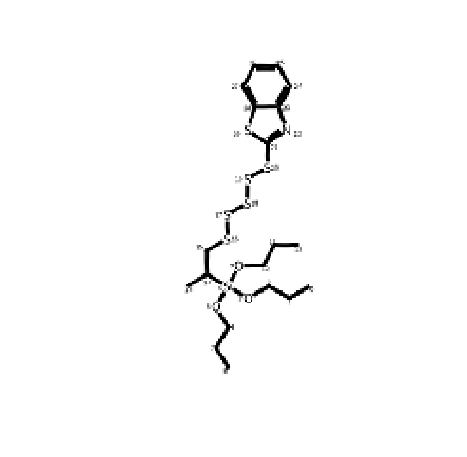 CCCO[Si](OCCC)(OCCC)C(C)CSSSSSc1nc2ccccc2s1